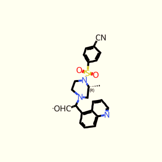 C[C@@H]1CN(C([C]=O)c2cccc3ncccc23)CCN1S(=O)(=O)c1ccc(C#N)cc1